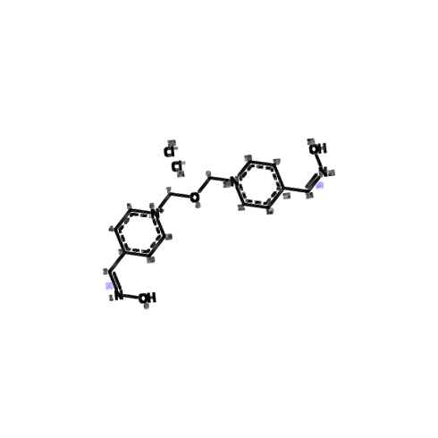 O/N=C\c1cc[n+](COC[n+]2ccc(/C=N\O)cc2)cc1.[Cl-].[Cl-]